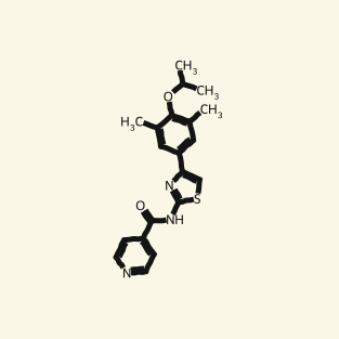 Cc1cc(-c2csc(NC(=O)c3ccncc3)n2)cc(C)c1OC(C)C